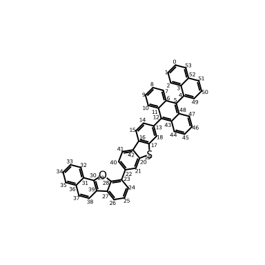 c1ccc2c(-c3c4ccccc4c(-c4ccc5c(c4)sc4cc(-c6cccc7c6oc6c8ccccc8ccc76)ccc45)c4ccccc34)cccc2c1